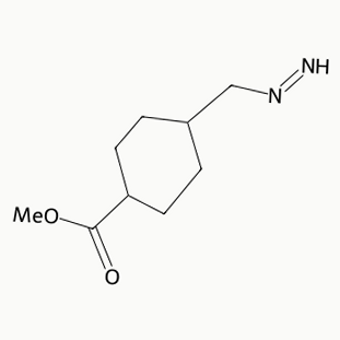 COC(=O)C1CCC(CN=N)CC1